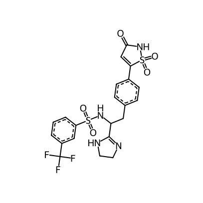 O=C1C=C(c2ccc(CC(NS(=O)(=O)c3cccc(C(F)(F)F)c3)C3=NCCN3)cc2)S(=O)(=O)N1